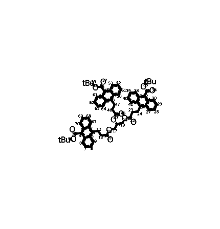 CC(C)(C)OC(=O)c1c2ccccc2c(CCC(=O)OCC(COC(=O)CCc2c3ccccc3c(C(=O)OC(C)(C)C)c3ccccc23)OC(=O)CCc2c3ccccc3c(C(=O)OC(C)(C)C)c3ccccc23)c2ccccc12